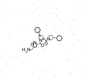 NCc1cc(C(=O)N2C[C@@H](c3ccccc3)C[C@H]2C(=O)N2CCC(c3ccccc3)C2)no1